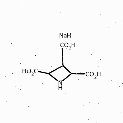 O=C(O)C1NC(C(=O)O)C1C(=O)O.[NaH]